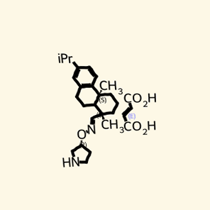 CC(C)c1ccc2c(c1)CCC1[C@@](C)(C=NO[C@@H]3CCNC3)CCC[C@]21C.O=C(O)/C=C/C(=O)O